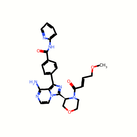 COCC=CC(=O)N1CCOC[C@H]1c1nc(-c2ccc(C(=O)Nc3ccccn3)cc2)c2c(N)nccn12